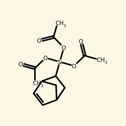 CC(=O)O[Si](OC(C)=O)(OC(C)=O)C1CC2C=CC1C2